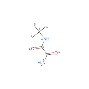 CC(C)(C)NC(=O)C(N)=O